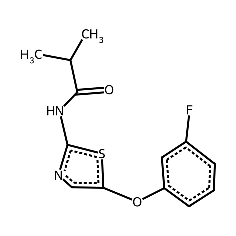 CC(C)C(=O)Nc1ncc(Oc2cccc(F)c2)s1